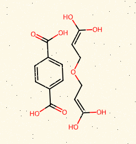 O=C(O)c1ccc(C(=O)O)cc1.OC(O)=CCOCC=C(O)O